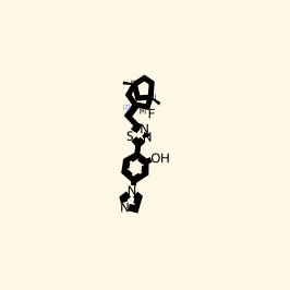 C[C@@]12CC[C@@](C)(C1)[C@@H](F)/C(=C\c1nnc(-c3ccc(-n4ccnc4)cc3O)s1)C2